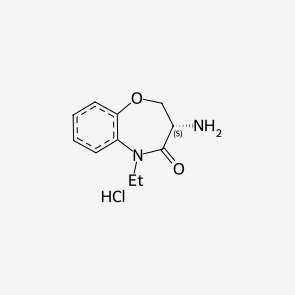 CCN1C(=O)[C@@H](N)COc2ccccc21.Cl